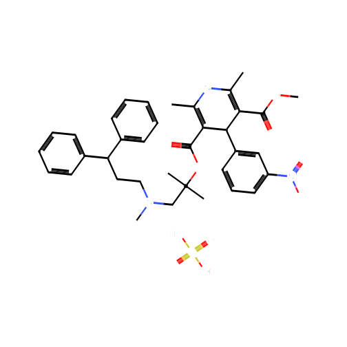 COC(=O)C1=C(C)NC(C)=C(C(=O)OC(C)(C)CN(C)CCC(c2ccccc2)c2ccccc2)C1c1cccc([N+](=O)[O-])c1.O=S(=O)(O)O